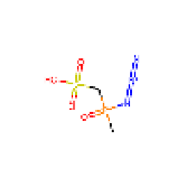 CP(=O)(CS(=O)(=O)O)N=[N+]=[N-]